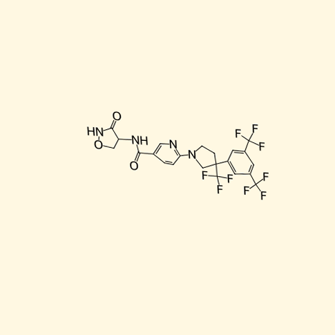 O=C(NC1CONC1=O)c1ccc(N2CCC(c3cc(C(F)(F)F)cc(C(F)(F)F)c3)(C(F)(F)F)C2)nc1